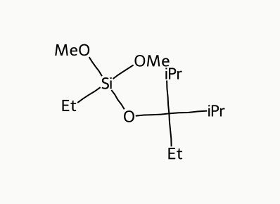 CCC(O[Si](CC)(OC)OC)(C(C)C)C(C)C